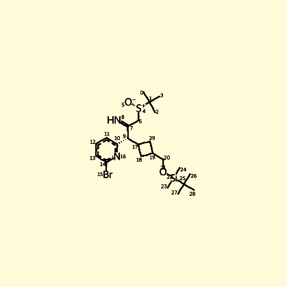 CC(C)(C)[S@@+]([O-])CC(=N)[C@@H](c1cccc(Br)n1)C1CC(CO[Si](C)(C)C(C)(C)C)C1